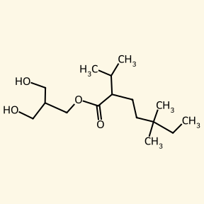 CCC(C)(C)CCC(C(=O)OCC(CO)CO)C(C)C